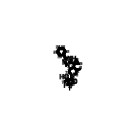 CC1CN(C(=O)C(C)(O)C(F)(F)F)CCC1C1(c2nnc(-c3ccccc3)[nH]2)CC1